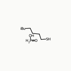 CCC(C)CCCCS.O=[PH2]O